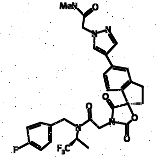 CNC(=O)Cn1cc(-c2ccc3c(c2)CC[C@@]32OC(=O)N(CC(=O)N(Cc3ccc(F)cc3)[C@@H](C)C(F)(F)F)C2=O)cn1